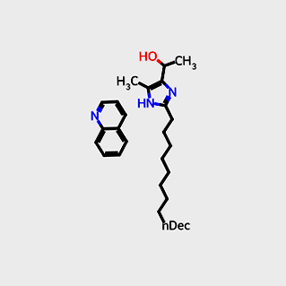 CCCCCCCCCCCCCCCCCCc1nc(C(C)O)c(C)[nH]1.c1ccc2ncccc2c1